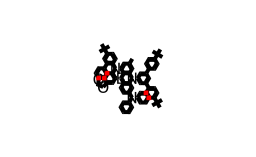 Cc1cc2c3c(c1)N(c1ccc(C(C)(C)C)cc1-c1ccccc1)c1cc4c(cc1B3c1ccc(N(c3ccccc3)c3ccccc3)cc1N2c1cc(-c2ccc(C(C)(C)C)cc2)cc(-c2ccc(C(C)(C)C)cc2)c1)OCO4